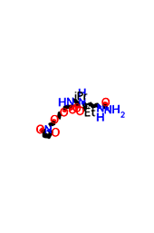 CCC(=O)[C@H](CCCNC(N)=O)NC(=O)C(NC(=O)COCCOCCN1C(=O)C=CC1=O)C(C)C